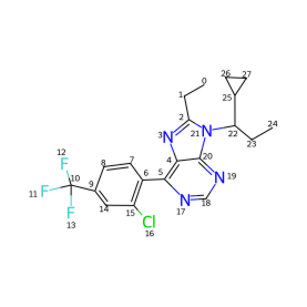 CCc1nc2c(-c3ccc(C(F)(F)F)cc3Cl)ncnc2n1C(CC)C1CC1